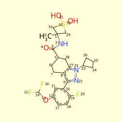 CC1(NC(=O)C2CCc3c(-c4cc(OC(F)F)ccc4F)nn(C4CCC4)c3C2)CS(O)(O)C1